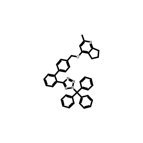 Cc1cc(OCc2ccc(-c3ccccc3-c3nnn(C(c4ccccc4)(c4ccccc4)c4ccccc4)n3)cc2)c2c(n1)CCC2